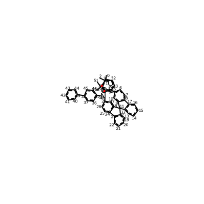 CC1(C)OB(c2ccc3c(c2)C2(c4ccccc4-3)c3ccccc3-c3ccc(N(c4ccccc4)c4ccc(-c5ccccc5)cc4)cc32)OC1(C)C